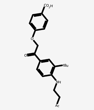 CC(=O)CCNc1ccc(C(=O)COc2ccc(C(=O)O)cc2)cc1C(C)(C)C